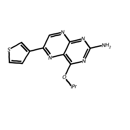 CC(C)Oc1nc(N)nc2ncc(-c3ccsc3)nc12